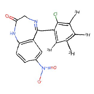 [2H]c1c([2H])c([2H])c(C2=NCC(=O)Nc3ccc([N+](=O)[O-])cc32)c(Cl)c1[2H]